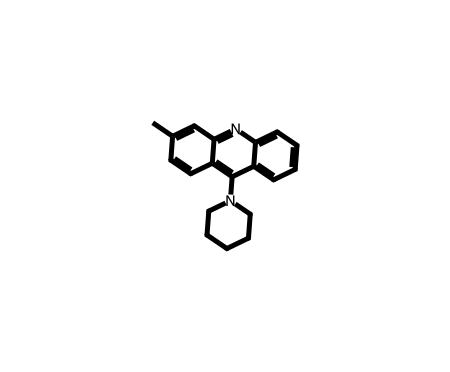 Cc1ccc2c(N3CCCCC3)c3ccccc3nc2c1